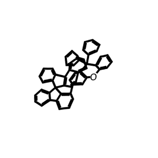 c1ccc(C2(c3ccccc3)c3ccccc3Oc3cc(-c4cccc5c4C4(c6ccccc6-5)c5ccccc5-c5c4ccc4ccccc54)ccc32)cc1